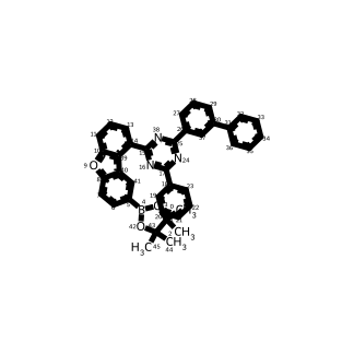 CC1(C)OB(c2ccc3oc4cccc(-c5nc(-c6ccccc6)nc(-c6cccc(-c7ccccc7)c6)n5)c4c3c2)OC1(C)C